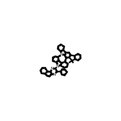 CC1(C)c2ccccc2-c2cc3c4ccccc4n4c5cccc6c5c5c(cccc5n6-c5nc6c(ccc7ccccc76)nc5-c5ccccc5)c(c21)c34